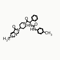 Cc1ccc(NC(=O)NC(C(=O)N2CCC(N3CN4CN(C)C=C4C3=O)CC2)c2ccccc2)cc1